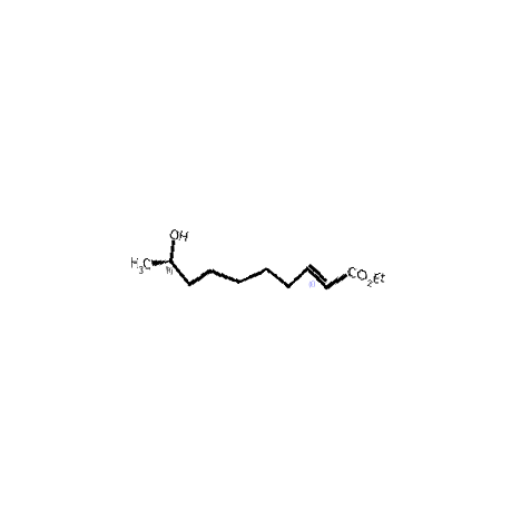 CCOC(=O)/C=C/CCCCC[C@@H](C)O